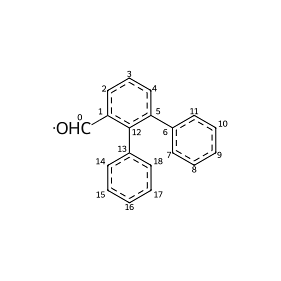 O=[C]c1cccc(-c2ccccc2)c1-c1ccccc1